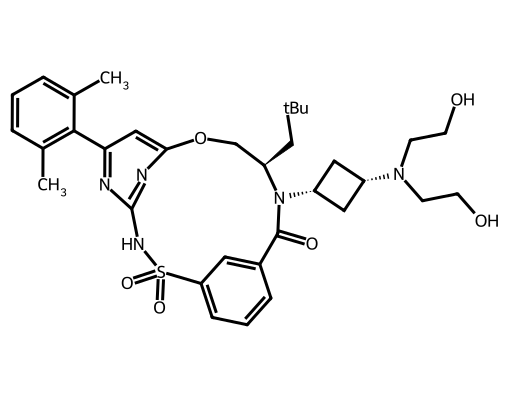 Cc1cccc(C)c1-c1cc2nc(n1)NS(=O)(=O)c1cccc(c1)C(=O)N([C@H]1C[C@@H](N(CCO)CCO)C1)[C@H](CC(C)(C)C)CO2